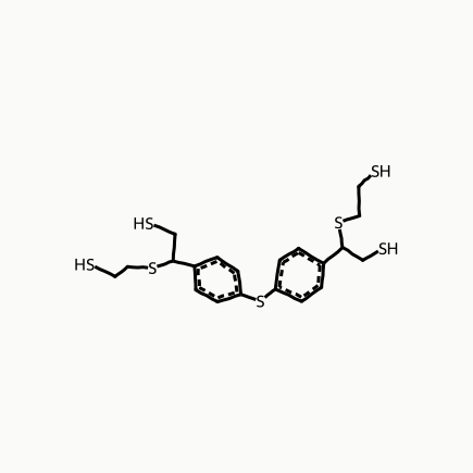 SCCSC(CS)c1ccc(Sc2ccc(C(CS)SCCS)cc2)cc1